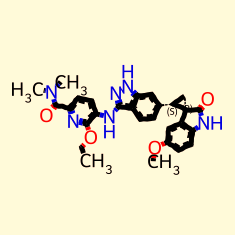 CCOc1nc(C(=O)N(C)C)ccc1Nc1n[nH]c2cc([C@@H]3C[C@@]34C(=O)Nc3ccc(OC)cc34)ccc12